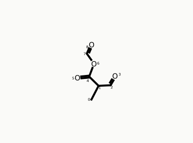 CC(C=O)C(=O)OC=O